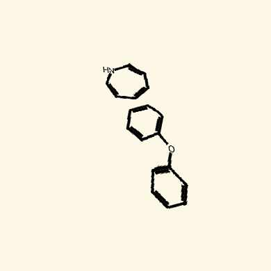 C1=CC=CNC=C1.c1ccc(Oc2ccccc2)cc1